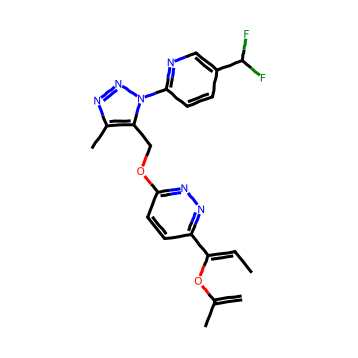 C=C(C)O/C(=C\C)c1ccc(OCc2c(C)nnn2-c2ccc(C(F)F)cn2)nn1